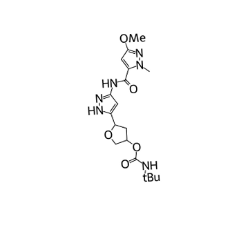 COc1cc(C(=O)Nc2cc(C3CC(OC(=O)NC(C)(C)C)CO3)[nH]n2)n(C)n1